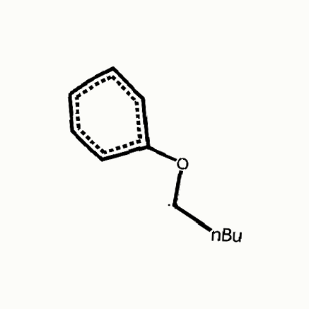 CCCC[CH]Oc1ccccc1